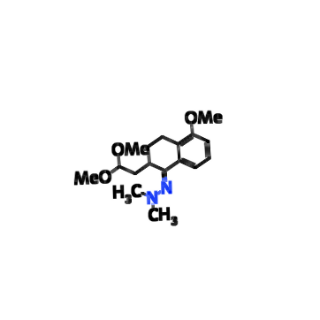 COc1cccc2c1CCC(CC(OC)OC)C2=NN(C)C